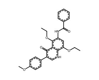 CCOc1cc(NC(=O)c2ccccc2)c(OCC)c2c(=O)c(-c3ccc(OC)cc3)c[nH]c12